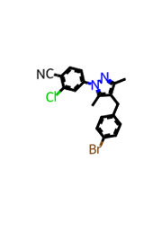 Cc1nn(-c2ccc(C#N)c(Cl)c2)c(C)c1Cc1ccc(Br)cc1